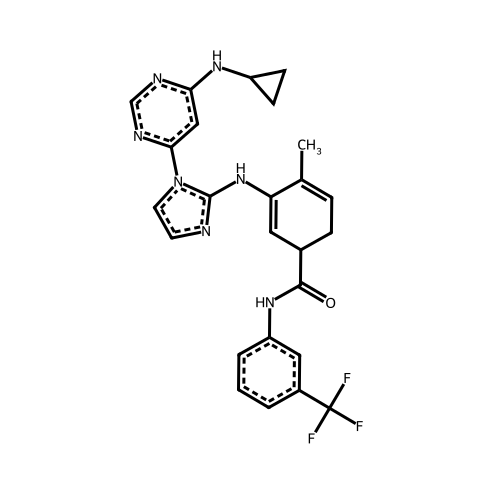 CC1=CCC(C(=O)Nc2cccc(C(F)(F)F)c2)C=C1Nc1nccn1-c1cc(NC2CC2)ncn1